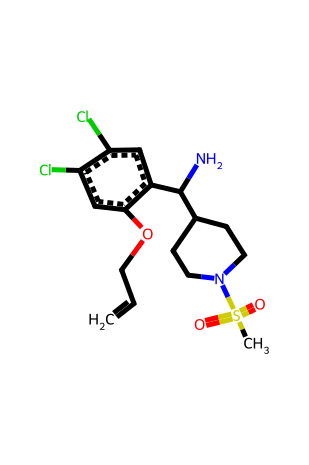 C=CCOc1cc(Cl)c(Cl)cc1C(N)C1CCN(S(C)(=O)=O)CC1